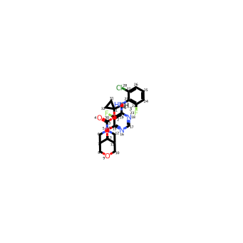 CC1(OC(=O)N2CC3COCC(C2)C3Oc2ncnc(Nc3c(F)cccc3Cl)c2F)CC1